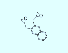 c1ccc2cc(CC3CO3)c(CC3CO3)cc2c1